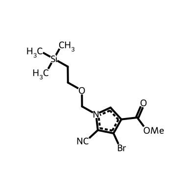 COC(=O)c1cn(COCC[Si](C)(C)C)c(C#N)c1Br